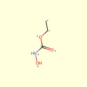 CCOC(=O)NO